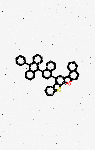 c1ccc(-c2c3ccccc3c(-c3ccc(-c4cc5c(oc6ccc7ccccc7c65)c5sc6ccccc6c45)c4ccccc34)c3ccccc23)cc1